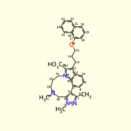 Cc1nn(C)c2c1-c1cccc3c(CCCOc4cccc5ccccc45)c(C(=O)O)n(c13)CCCN(C)C2